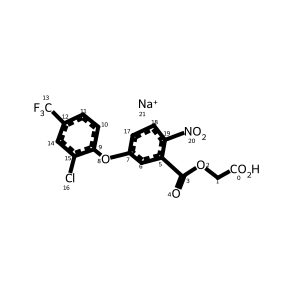 O=C(O)COC(=O)c1cc(Oc2ccc(C(F)(F)F)cc2Cl)ccc1[N+](=O)[O-].[Na+]